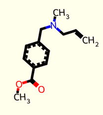 C=CCN(C)Cc1ccc(C(=O)OC)cc1